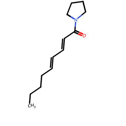 CCCC/C=C/C=C/C(=O)N1CCCC1